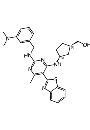 Cc1nc(NCc2cccc(N(C)C)c2)nc(N[C@H]2CC[C@@H](CO)C2)c1-c1nc2ccccc2s1